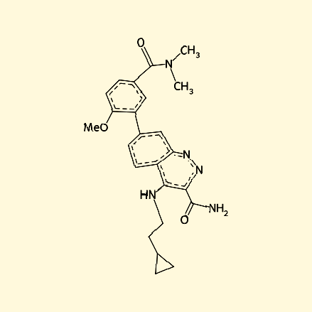 COc1ccc(C(=O)N(C)C)cc1-c1ccc2c(NCCC3CC3)c(C(N)=O)nnc2c1